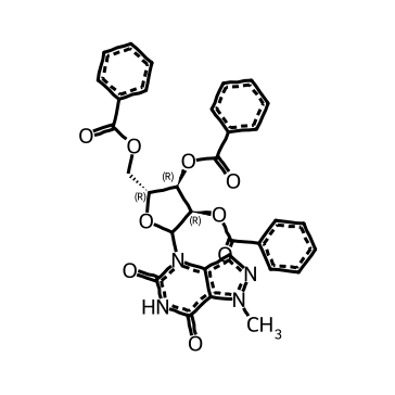 Cn1ncc2c1c(=O)[nH]c(=O)n2C1O[C@H](COC(=O)c2ccccc2)[C@@H](OC(=O)c2ccccc2)[C@H]1OC(=O)c1ccccc1